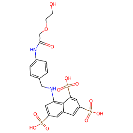 O=C(COCCO)Nc1ccc(CNc2cc(S(=O)(=O)O)cc3cc(S(=O)(=O)O)cc(S(=O)(=O)O)c23)cc1